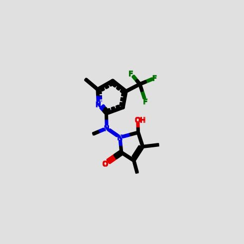 CC1=C(C)C(O)N(N(C)c2cc(C(F)(F)F)cc(C)n2)C1=O